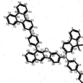 CC1(C)c2ccccc2-c2ccc(N(c3ccc(-c4ccccc4)cc3)c3ccc4c(c3)oc3c(-c5ccc(-c6ccc7c8ccccc8c8ccccc8c7c6)cc5)c5ccccc5cc34)cc21